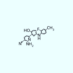 Cc1ccc(Nc2ccc(O)c(-c3ccc(C#N)c(N)n3)c2)c(F)c1